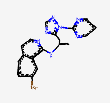 CC(Nc1nccc2ccc(Br)cc12)c1ncnn1-c1ncccn1